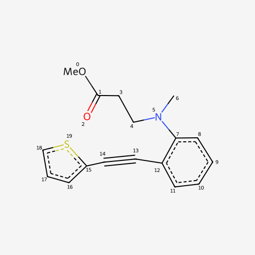 COC(=O)CCN(C)c1ccccc1C#Cc1cccs1